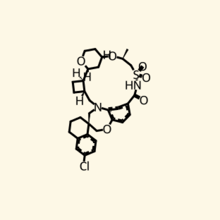 C[C@H]1CS(=O)(=O)NC(=O)c2ccc3c(c2)N(C[C@@H]2CC[C@H]2[C@H]2C[C@@H](CCO2)O1)C[C@@]1(CCCc2cc(Cl)ccc21)CO3